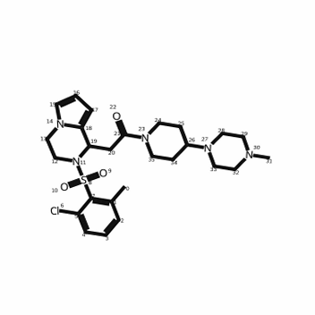 Cc1cccc(Cl)c1S(=O)(=O)N1CCn2cccc2C1CC(=O)N1CCC(N2CCN(C)CC2)CC1